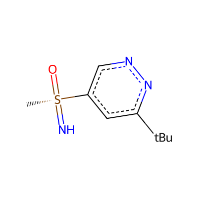 CC(C)(C)c1cc([S@@](C)(=N)=O)cnn1